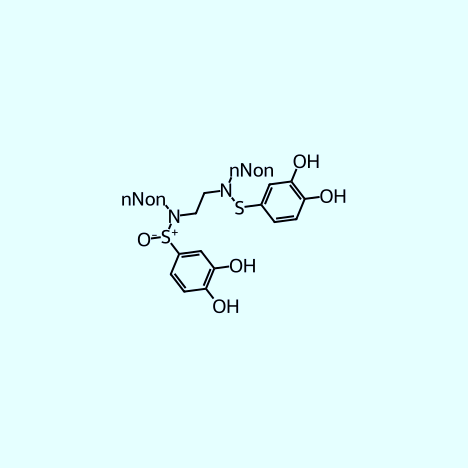 CCCCCCCCCN(CCN(CCCCCCCCC)[S+]([O-])c1ccc(O)c(O)c1)Sc1ccc(O)c(O)c1